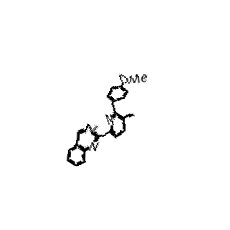 COc1ccc(-c2nc(-c3ncc4ccccc4n3)ccc2C)cc1